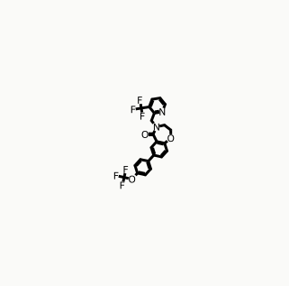 O=C1c2cc(-c3ccc(OC(F)(F)F)cc3)ccc2OCCN1Cc1ncccc1C(F)(F)F